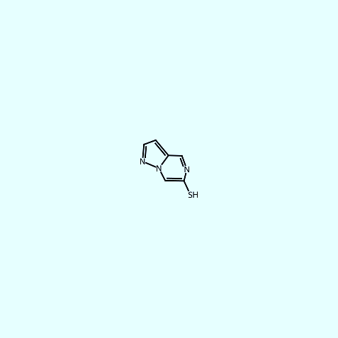 Sc1cn2nccc2cn1